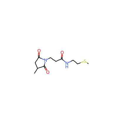 CSCCNC(=O)CCN1C(=O)CC(C)C1=O